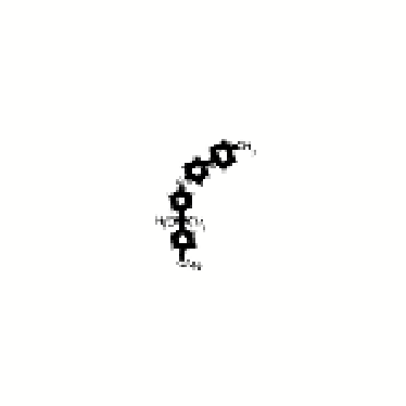 COc1ccc(C(C)(C)c2ccc(Oc3ccc(-c4ccc(C)cc4)cc3)cc2)cc1